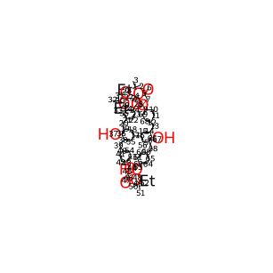 CCC(C)(C)OC(=O)COc1ccc(Cc2cc(-c3cc(Cc4ccc(OCC(=O)OC(C)(C)CC)cc4)c(O)c(Cc4ccc(OCC(=O)OC(C)(C)CC)cc4)c3)cc(Cc3ccc(O)cc3)c2O)cc1